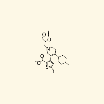 COC(=O)c1sc(I)cc1C1=C(C2CCC(C)CC2)CCN(CC2COC(C)(C)O2)C1